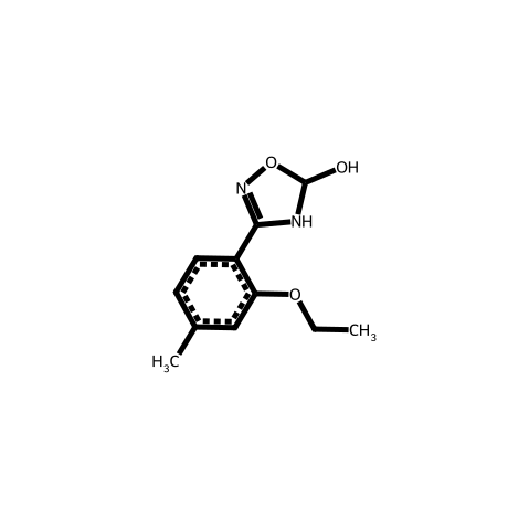 CCOc1cc(C)ccc1C1=NOC(O)N1